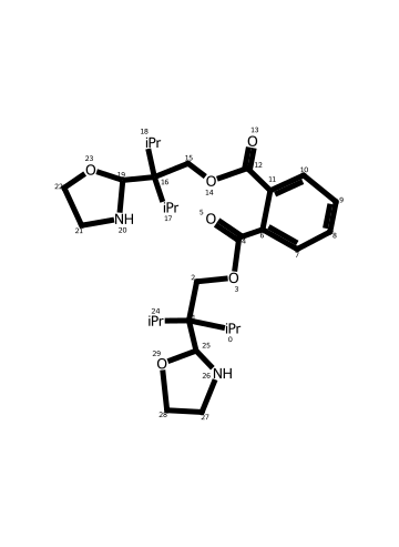 CC(C)C(COC(=O)c1ccccc1C(=O)OCC(C(C)C)(C(C)C)C1NCCO1)(C(C)C)C1NCCO1